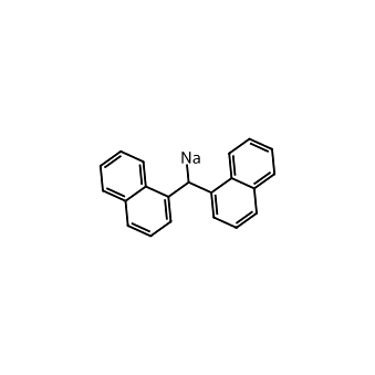 [Na][CH](c1cccc2ccccc12)c1cccc2ccccc12